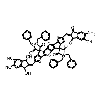 N#Cc1cc2c(cc1N)C(=O)/C(=C/c1cc3c(s1)-c1sc4c5c(sc4c1C3(C(=O)OCc1ccccc1)C(=O)OCc1ccccc1)-c1sc(C=C3C(O)c4cc(C#N)c(C#N)cc4C3O)cc1C5(C(=O)OCc1ccccc1)C(=O)OCc1ccccc1)C2=O